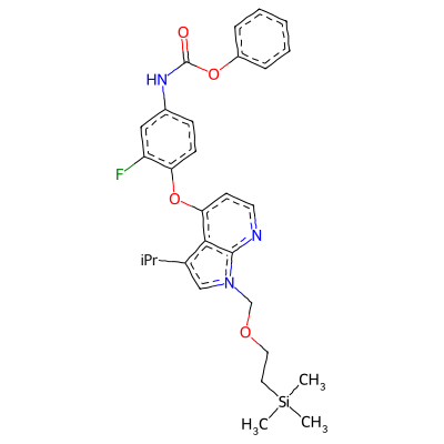 CC(C)c1cn(COCC[Si](C)(C)C)c2nccc(Oc3ccc(NC(=O)Oc4ccccc4)cc3F)c12